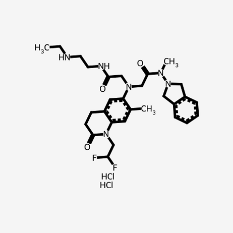 CCNCCNC(=O)CN(CC(=O)N(C)N1Cc2ccccc2C1)c1cc2c(cc1C)N(CC(F)F)C(=O)CC2.Cl.Cl